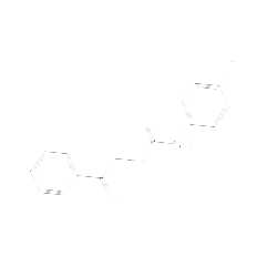 O=C(Nc1ccc(F)cc1)OCC(=O)c1ccccc1